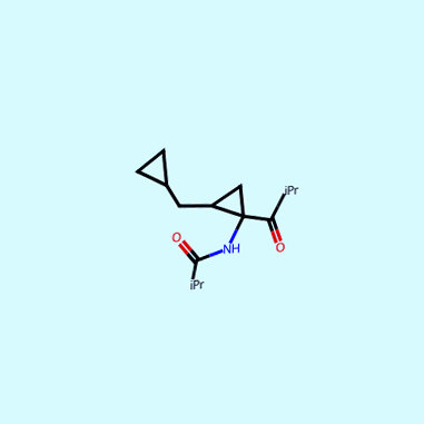 CC(C)C(=O)NC1(C(=O)C(C)C)CC1CC1CC1